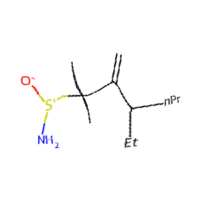 C=C(C(CC)CCC)C(C)(C)[S+](N)[O-]